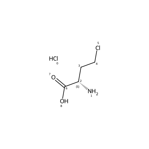 Cl.N[C@@H](CCCl)C(=O)O